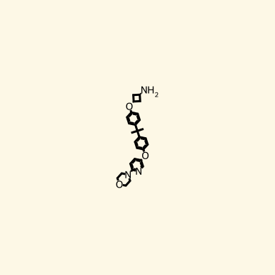 CC(C)(c1ccc(Oc2ccc(N3CCOCC3)nc2)cc1)c1ccc(O[C@H]2C[C@H](N)C2)cc1